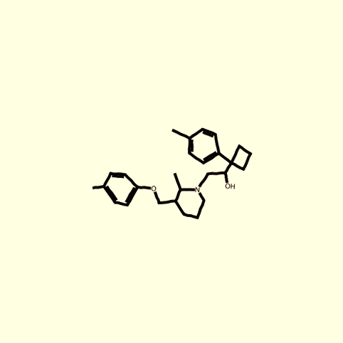 Cc1ccc(OCC2CCCN(CC(O)C3(c4ccc(C)cc4)CCC3)C2C)cc1